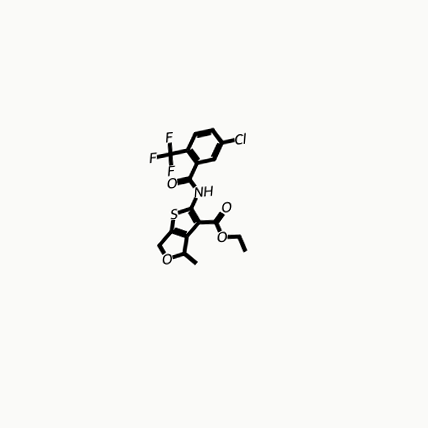 CCOC(=O)c1c(NC(=O)c2cc(Cl)ccc2C(F)(F)F)sc2c1C(C)OC2